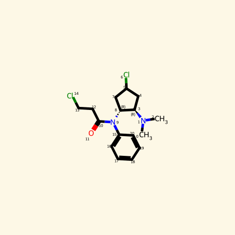 CN(C)[C@@H]1CC(Cl)C[C@H]1N(C(=O)CCCl)c1ccccc1